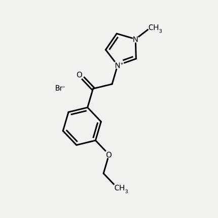 CCOc1cccc(C(=O)C[n+]2ccn(C)c2)c1.[Br-]